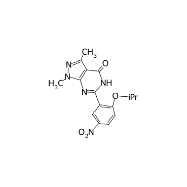 Cc1nn(C)c2nc(-c3cc([N+](=O)[O-])ccc3OC(C)C)[nH]c(=O)c12